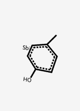 Cc1ccc(O)cc1.[Sb]